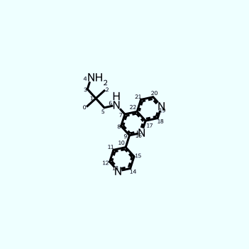 CC(C)(CN)CNc1cc(-c2ccncc2)nc2cnccc12